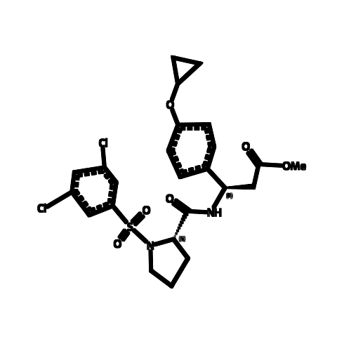 COC(=O)C[C@@H](NC(=O)[C@@H]1CCCN1S(=O)(=O)c1cc(Cl)cc(Cl)c1)c1ccc(OC2CC2)cc1